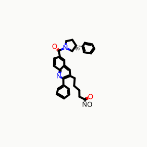 O=NC(=O)CCCCc1cc2cc(C(=O)N3CC[C@H](c4ccccc4)C3)ccc2nc1-c1ccccc1